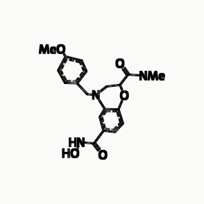 CNC(=O)C1CN(Cc2ccc(OC)cc2)c2cc(C(=O)NO)ccc2O1